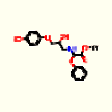 CCCOC(=O)C(NCC(O)COc1ccc(O)cc1)Oc1ccccc1